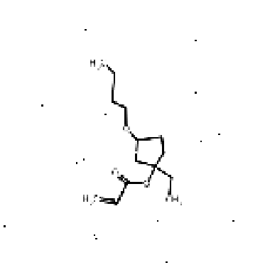 C=CC(=O)OC1(CC)CCC(OCCCC)C1